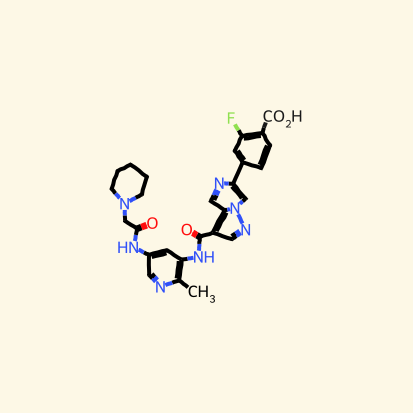 Cc1ncc(NC(=O)CN2CCCCC2)cc1NC(=O)c1cnn2cc(-c3ccc(C(=O)O)c(F)c3)ncc12